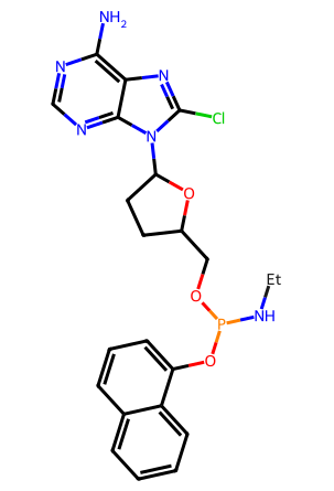 CCNP(OCC1CCC(n2c(Cl)nc3c(N)ncnc32)O1)Oc1cccc2ccccc12